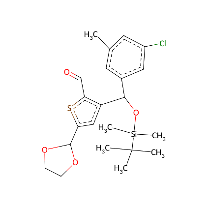 Cc1cc(Cl)cc(C(O[Si](C)(C)C(C)(C)C)c2cc(C3OCCO3)sc2C=O)c1